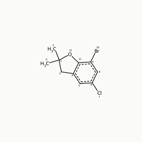 CC1(C)Cc2cc(Cl)cc(Br)c2O1